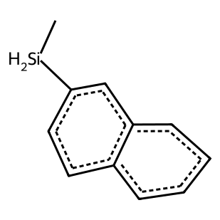 C[SiH2]c1ccc2ccccc2c1